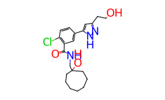 O=C(NCC1(O)CCCCCCC1)c1cc(-c2cc(CCO)n[nH]2)ccc1Cl